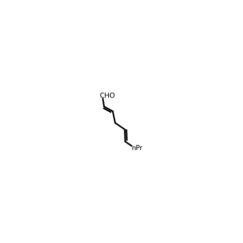 CCC/C=C/C/C=C/C=O